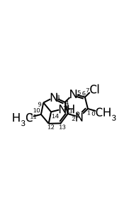 Cc1nc2c(nc1Cl)=NC1C(C)C(C=2)C1N